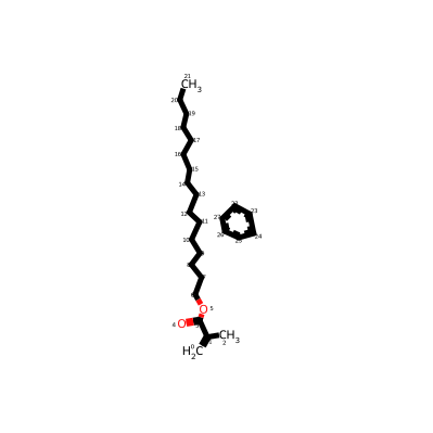 C=C(C)C(=O)OCCCCCCCCCCCCCCCC.c1ccccc1